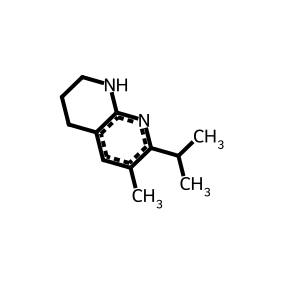 Cc1cc2c(nc1C(C)C)NCCC2